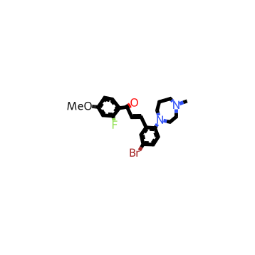 COc1ccc(C(=O)C=Cc2cc(Br)ccc2N2CCCN(C)CC2)c(F)c1